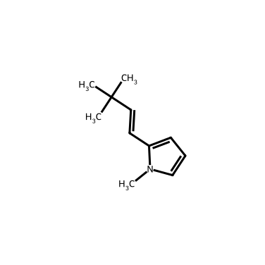 Cn1cccc1/C=C/C(C)(C)C